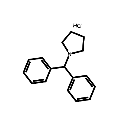 Cl.c1ccc(C(c2ccccc2)N2CCCC2)cc1